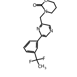 CC(F)(F)c1cccc(-c2cncc(CN3CCCOC3=O)n2)c1